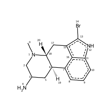 CN1CC(N)C[C@@H]2c3cccc4[nH]c(Br)c(c34)C[C@H]21